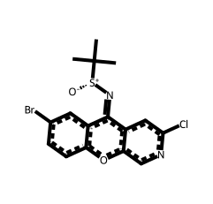 CC(C)(C)[S@@+]([O-])/N=c1\c2cc(Br)ccc2oc2cnc(Cl)cc12